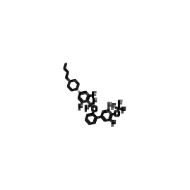 CCCC[C@H]1CC[C@H](c2cc(F)c(C(F)(F)Oc3ccccc3-c3cc(F)c(OC(F)(F)F)c(F)c3)c(F)c2)CC1